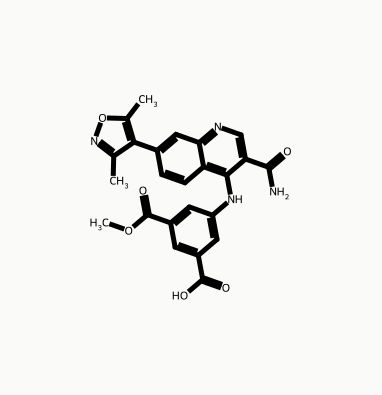 COC(=O)c1cc(Nc2c(C(N)=O)cnc3cc(-c4c(C)noc4C)ccc23)cc(C(=O)O)c1